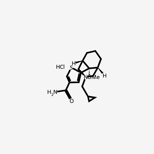 CO[C@@]1(c2cc(C(N)=O)cs2)[C@@H]2CCC[C@H]1CN(CC1CC1)C2.Cl